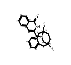 O=c1[nH]c(CN2C[C@@H]3CC[C@H]2Cc2ccccc2C3)cc2ccccc12